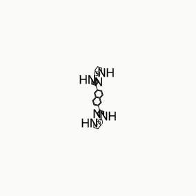 c1cc2cc(-c3c[nH]c([C@@H]4CCCN4)n3)ccc2cc1-c1c[nH]c([C@@H]2CCCN2)n1